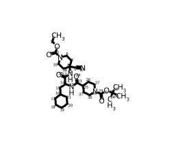 CCOC(=O)N1CCC(C#N)(NC(=O)C(CC2CCCCC2)NC(=O)C2CCN(C(=O)OC(C)(C)C)CC2)CC1